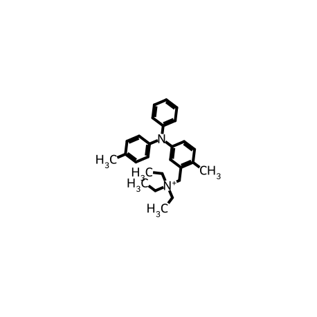 CC[N+](CC)(CC)Cc1cc(N(c2ccccc2)c2ccc(C)cc2)ccc1C